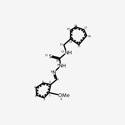 COc1ccccc1/C=N/NC(=S)NCc1ccccc1